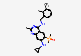 Cc1nc(NCc2cccc(C(F)(F)F)c2C)c2cc(P(C)(C)=O)c(NC3CC3)cc2n1